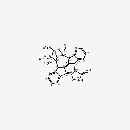 CN[C@H]1C[C@@H]2O[C@@](C)(C3c4ccccc4-c4c5c(c6c7ccccc7n2c6c43)C(=O)NC5)[C@H]1OC